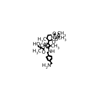 Cc1c(C2C(=O)N(S(=O)(=O)N(C)C)CCC2C)nn(C(=O)C(C)(C)CO)c1NCc1ccc(CN)cc1